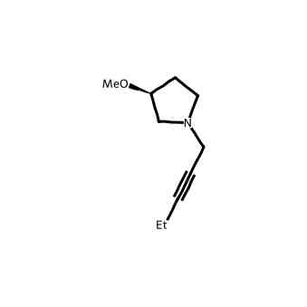 CCC#CCN1CC[C@H](OC)C1